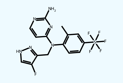 Cc1cc(S(F)(F)(F)(F)F)ccc1N(Cc1n[nH]cc1F)c1ccnc(N)n1